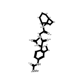 CNC(=O)Nc1ccc2c(c1)CC[C@@]21OC(=O)N(CC(=O)N2C3CCCC4CCC432)C1=O